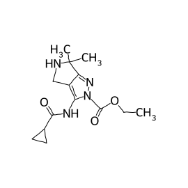 CCOC(=O)n1nc2c(c1NC(=O)C1CC1)CNC2(C)C